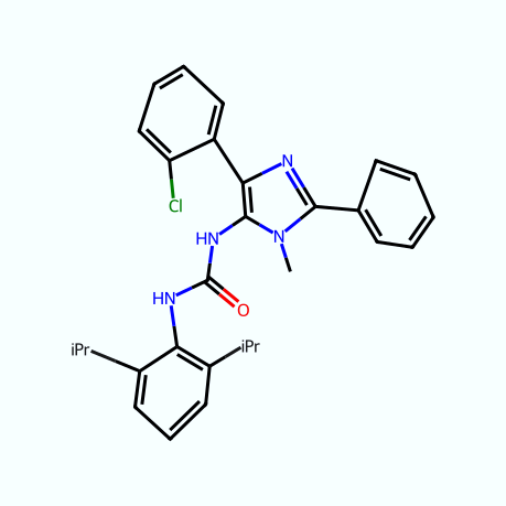 CC(C)c1cccc(C(C)C)c1NC(=O)Nc1c(-c2ccccc2Cl)nc(-c2ccccc2)n1C